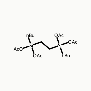 CCCC[Si](CC[Si](CCCC)(OC(C)=O)OC(C)=O)(OC(C)=O)OC(C)=O